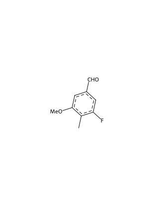 COc1cc(C=O)cc(F)c1C